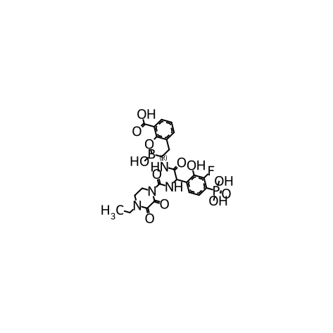 CCN1CCN(C(=O)NC(C(=O)N[C@H]2Cc3cccc(C(=O)O)c3OB2O)c2ccc(P(=O)(O)O)c(F)c2O)C(=O)C1=O